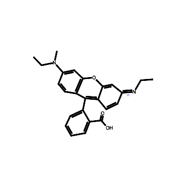 CC/N=c1/ccc2c(-c3ccccc3C(=O)O)c3ccc(N(C)CC)cc3oc-2c1